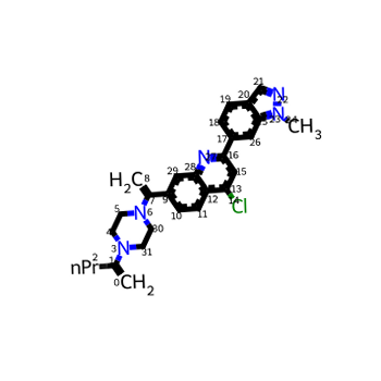 C=C(CCC)N1CCN(C(=C)c2ccc3c(Cl)cc(-c4ccc5cnn(C)c5c4)nc3c2)CC1